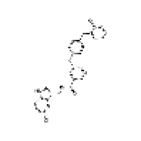 O=C(NCc1n[nH]c2ccc(Cl)cc12)c1cncc(Cc2ccc(Cn3ccccc3=O)cc2)c1